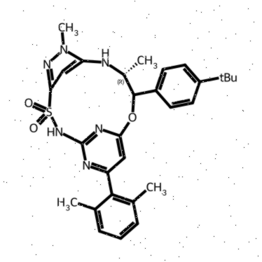 Cc1cccc(C)c1-c1cc2nc(n1)NS(=O)(=O)c1cc(n(C)n1)N[C@H](C)C(c1ccc(C(C)(C)C)cc1)O2